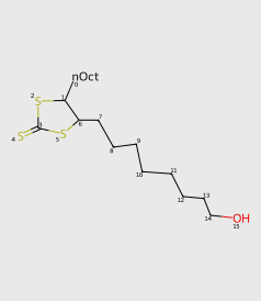 CCCCCCCCC1SC(=S)SC1CCCCCCCCO